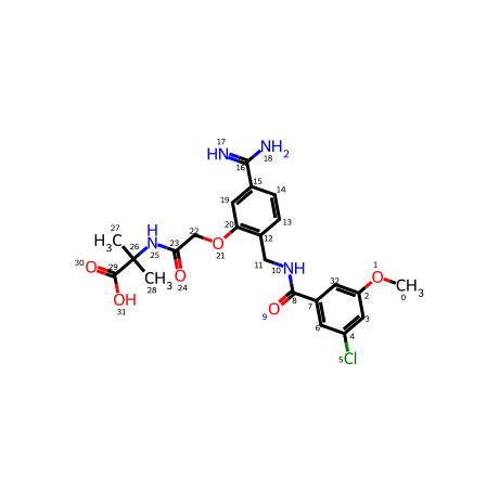 COc1cc(Cl)cc(C(=O)NCc2ccc(C(=N)N)cc2OCC(=O)NC(C)(C)C(=O)O)c1